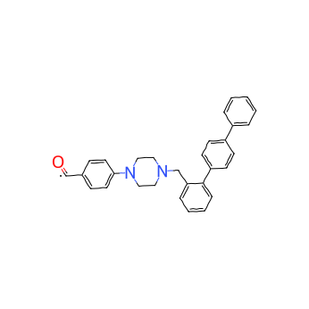 O=[C]c1ccc(N2CCN(Cc3ccccc3-c3ccc(-c4ccccc4)cc3)CC2)cc1